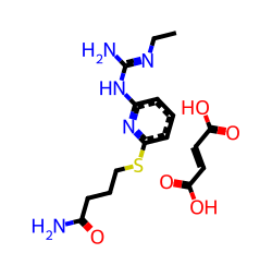 CCN=C(N)Nc1cccc(SCCCC(N)=O)n1.O=C(O)C=CC(=O)O